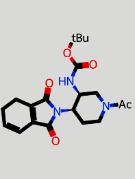 CC(=O)N1CC[C@@H](N2C(=O)C3=C(CCC=C3)C2=O)[C@@H](NC(=O)OC(C)(C)C)C1